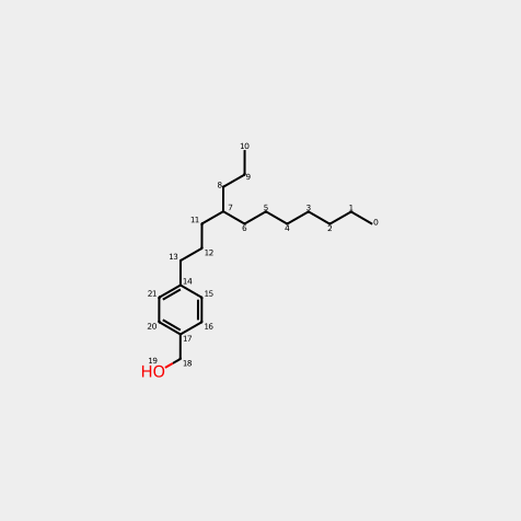 CCCCCCCC(CCC)CCCc1ccc(CO)cc1